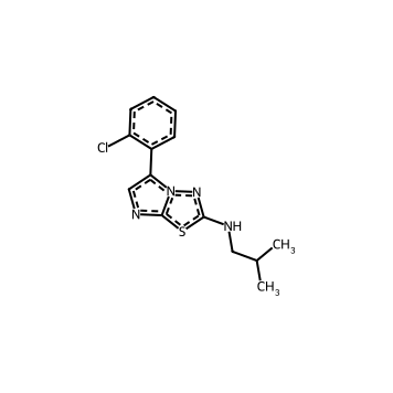 CC(C)CNc1nn2c(-c3ccccc3Cl)cnc2s1